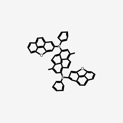 Cc1cc(N(c2ccccc2)c2cc3ccc4cccc5oc(c2)c3c45)c2ccc3c(C)cc(N(c4ccccc4)c4cc5ccc6cccc7oc(c4)c5c67)c4ccc1c2c34